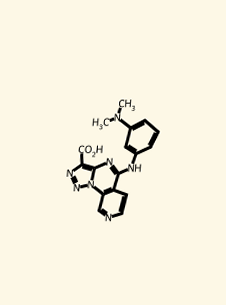 CN(C)c1cccc(Nc2nc3c(C(=O)O)nnn3c3cnccc23)c1